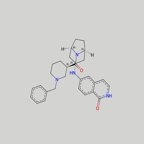 O=C([C@@H]1CCCN(Cc2ccccc2)C1)N1[C@@H]2CC[C@H]1C[C@H](Nc1ccc3c(=O)[nH]ccc3c1)C2